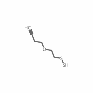 C#CCCOCCSS